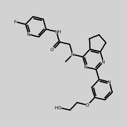 CN(CC(=O)Nc1ccc(F)nc1)c1nc(-c2cc(OCCO)ccn2)nc2c1CCC2